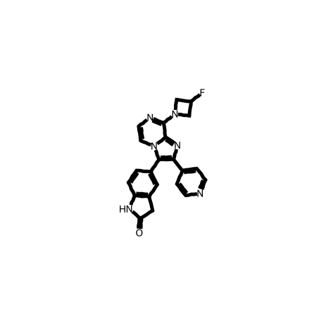 O=C1Cc2cc(-c3c(-c4ccncc4)nc4c(N5CC(F)C5)nccn34)ccc2N1